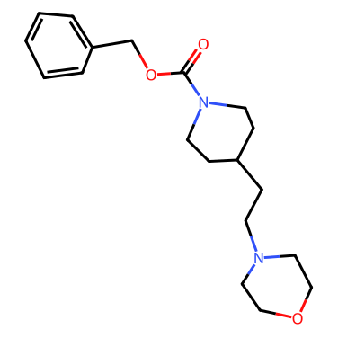 O=C(OCc1ccccc1)N1CCC(CCN2CCOCC2)CC1